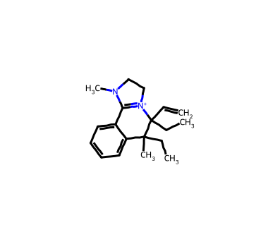 C=CC1(CC)[N+]2=C(c3ccccc3C1(C)CC)N(C)CC2